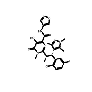 Cc1nn(C)c(C)c1[C@H](c1cc(F)ccc1Cl)[C@@H](C)c1nc(C(=O)Nc2cnoc2)c(O)c(=O)n1C